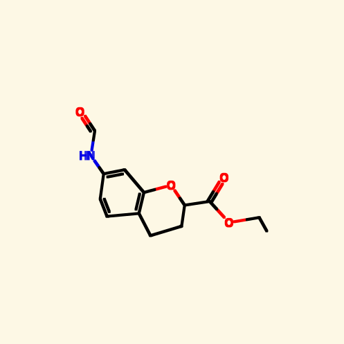 CCOC(=O)C1CCc2ccc(NC=O)cc2O1